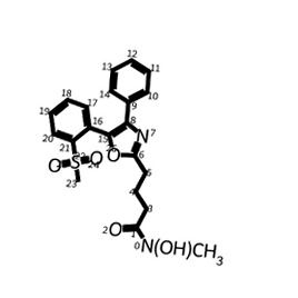 CN(O)C(=O)CCCc1nc(-c2ccccc2)c(-c2ccccc2S(C)(=O)=O)o1